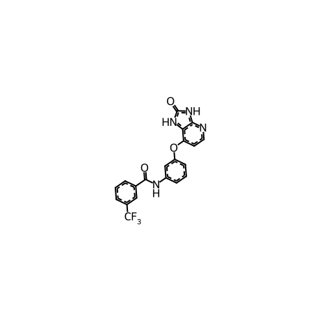 O=C(Nc1cccc(Oc2ccnc3[nH]c(=O)[nH]c23)c1)c1cccc(C(F)(F)F)c1